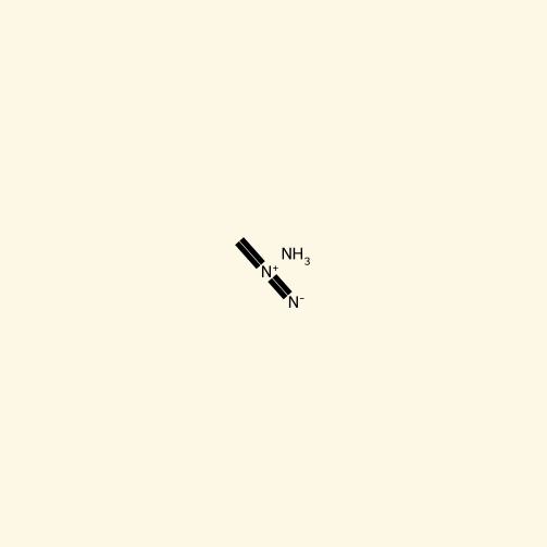 C=[N+]=[N-].N